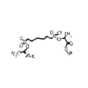 CCCOC(=O)C(C)OS(=O)(=O)CCCCCCS(=O)(=O)OC(C)C(C)=O